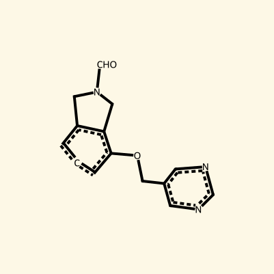 O=CN1Cc2cccc(OCc3cncnc3)c2C1